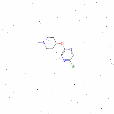 CN1CCC(Oc2cnc(Br)cn2)CC1